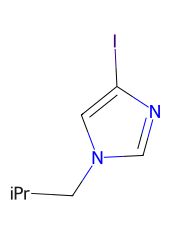 CC(C)Cn1cnc(I)c1